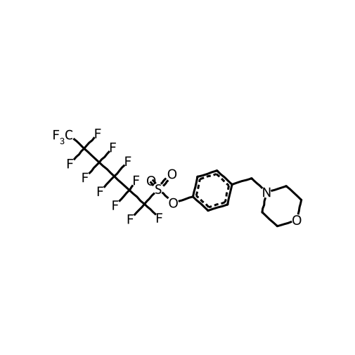 O=S(=O)(Oc1ccc(CN2CCOCC2)cc1)C(F)(F)C(F)(F)C(F)(F)C(F)(F)C(F)(F)C(F)(F)F